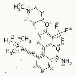 CN1CCC(Oc2ccc(-c3c(C#C[Si](C)(C)C)cccc3C(N)=O)cc2C(F)(F)F)CC1